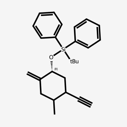 C#CC1C[C@@H](O[Si](c2ccccc2)(c2ccccc2)C(C)(C)C)C(=C)CC1C